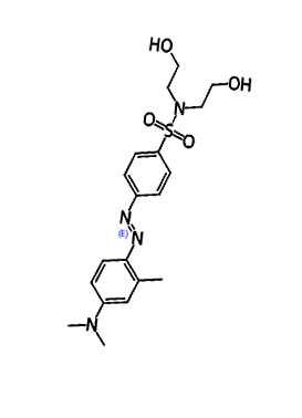 Cc1cc(N(C)C)ccc1/N=N/c1ccc(S(=O)(=O)N(CCO)CCO)cc1